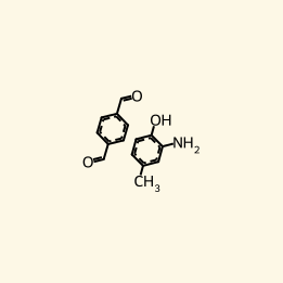 Cc1ccc(O)c(N)c1.O=Cc1ccc(C=O)cc1